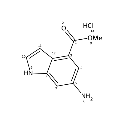 COC(=O)c1cc(N)cc2[nH]ccc12.Cl